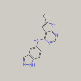 Cc1cc2c(Nc3ccc4[nH]ncc4c3)ncnc2[nH]1